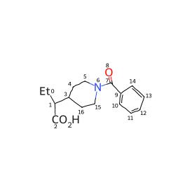 CCC(C(=O)O)C1CCN(C(=O)c2ccccc2)CC1